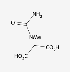 CNC(N)=O.O=C(O)CC(=O)O